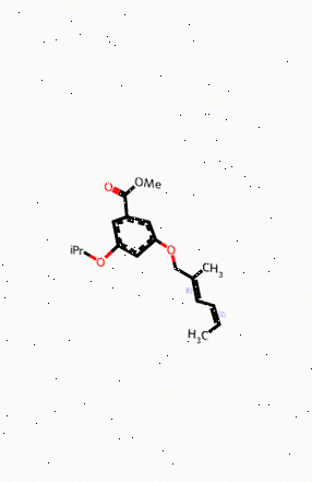 C/C=C\C=C(/C)COc1cc(OC(C)C)cc(C(=O)OC)c1